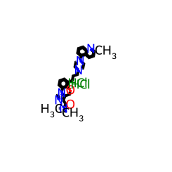 Cc1ccc2c(N3CCN(CCCc4cccc5c4OCc4c(C(=O)N(C)C)ncn4-5)CC3)cccc2n1.Cl.Cl